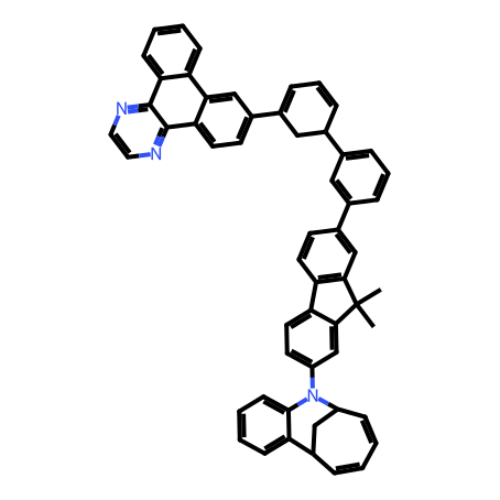 CC1(C)c2cc(-c3cccc(C4C=CC=C(c5ccc6c(c5)c5ccccc5c5nccnc65)C4)c3)ccc2-c2ccc(N3c4ccccc4C4C=CC=CC3C4)cc21